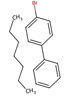 Brc1ccc(-c2ccccc2)cc1.CCCCCCC